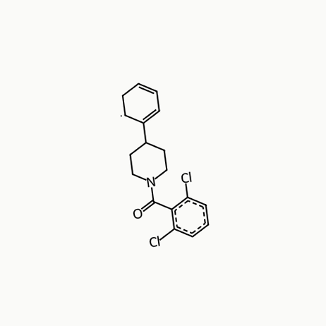 O=C(c1c(Cl)cccc1Cl)N1CCC(C2=CC=CC[CH]2)CC1